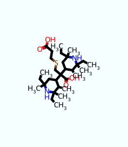 CCC1(C)CC(C(CSCCC(=O)O)(C(=O)O)C2CC(C)(CC)NC(C)(CC)C2C)C(C)C(C)(CC)N1